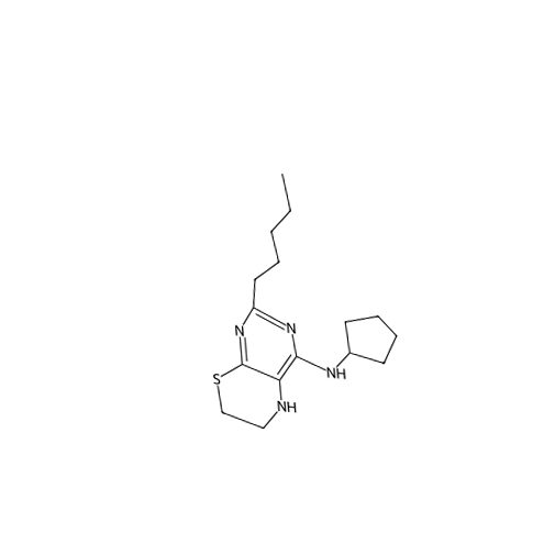 CCCCCc1nc(NC2CCCC2)c2c(n1)SCCN2